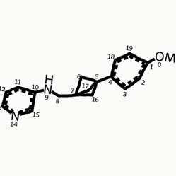 COc1ccc(C23CC(CNc4cccnc4)(C2)C3)cc1